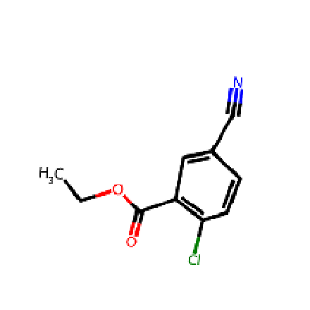 CCOC(=O)c1cc(C#N)ccc1Cl